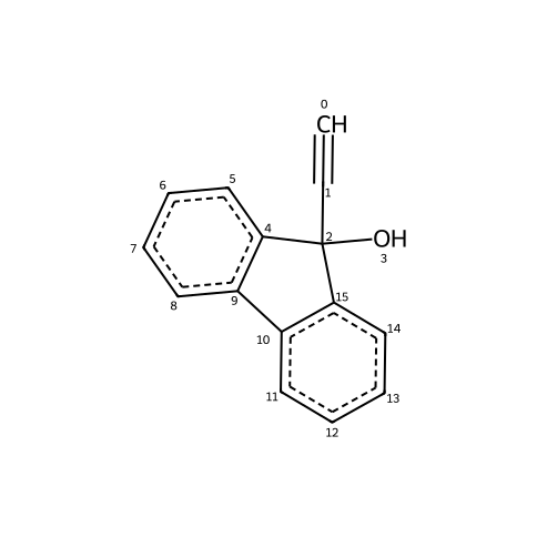 C#CC1(O)c2ccccc2-c2ccccc21